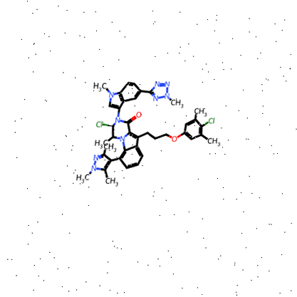 Cc1cc(OCCCc2c3n(c4c(-c5c(C)nn(C)c5C)cccc24)C(C)[C@@H](Cl)N(c2cn(C)c4ccc(-c5nnn(C)n5)cc24)C3=O)cc(C)c1Cl